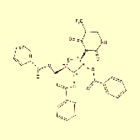 O=C(OC[C@H]1O[C@@H](N2C(=O)NCC(C(F)(F)F)C2=O)[C@H](OC(=O)c2ccccc2)[C@@H]1OC(=O)c1ccccc1)c1ccccc1